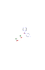 CN1CCN(C(=O)N2CCNCC2)CC1.O=C(O)C(F)(F)F.O=C(O)C(F)(F)F